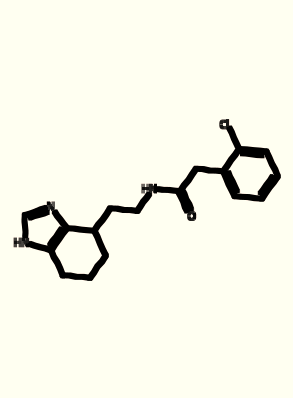 O=C(Cc1ccccc1Cl)NCCC1CCCc2[nH]cnc21